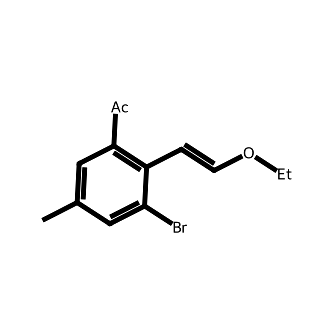 CCO/C=C/c1c(Br)cc(C)cc1C(C)=O